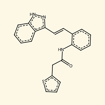 O=C(Cc1cccs1)Nc1ccccc1/C=C/c1n[nH]c2ccccc12